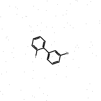 Brc1cccc(-c2ccccc2I)c1